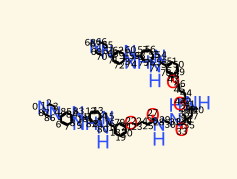 CN1CCN(c2ccc3[nH]c(-c4ccc5nc(-c6cccc(OCCCC(=O)NCCNC(=O)C(C)(C)CC(C)(C)NC(=O)CCCOc7cccc(-c8nc9ccc(-c%10nc%11cc(N%12CCN(C)CC%12)ccc%11[nH]%10)cc9[nH]8)c7)c6)[nH]c5c4)nc3c2)CC1